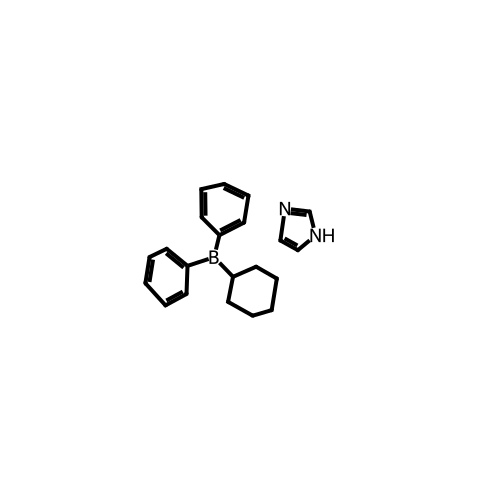 c1c[nH]cn1.c1ccc(B(c2ccccc2)C2CCCCC2)cc1